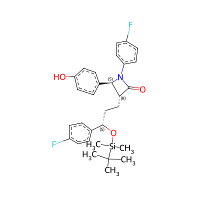 CC(C)(C)[Si](C)(C)O[C@@H](CC[C@H]1C(=O)N(c2ccc(F)cc2)[C@@H]1c1ccc(O)cc1)c1ccc(F)cc1